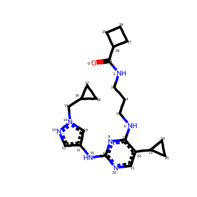 O=C(NCCCNc1nc(Nc2cnn(CC3CC3)c2)ncc1C1CC1)C1CCC1